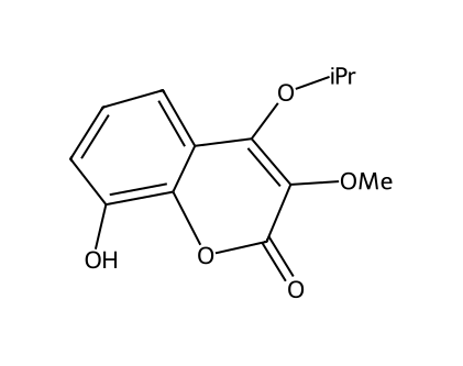 COc1c(OC(C)C)c2cccc(O)c2oc1=O